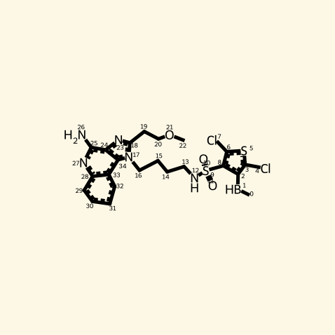 CBc1c(Cl)sc(Cl)c1S(=O)(=O)NCCCCn1c(CCOC)nc2c(N)nc3ccccc3c21